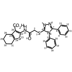 O=C(CSc1nnc(-c2ccccc2)n1-c1ccccc1)Nc1sc2c(c1C(=O)O)CCCC2